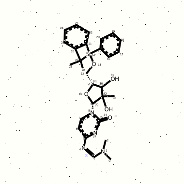 CN(C)/C=N\c1ccn([C@@H]2O[C@H](CO[Si]3(c4ccccc4)c4ccccc4C3(C)C)C(O)C2(C)O)c(=O)n1